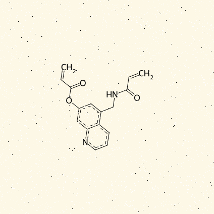 C=CC(=O)NCc1cc(OC(=O)C=C)cc2ncccc12